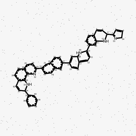 C1=CC(C2C=Cc3ccc(C4=CC=C5C=CC(c6ccc7cc(-c8ccc9ccc%10c(c9n8)NC(c8ccccc8)C=C%10)ccc7c6)=CC5N4)cc3N2)=NC1